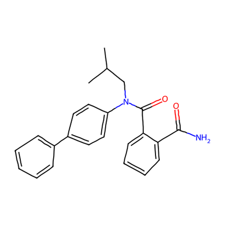 CC(C)CN(C(=O)c1ccccc1C(N)=O)c1ccc(-c2ccccc2)cc1